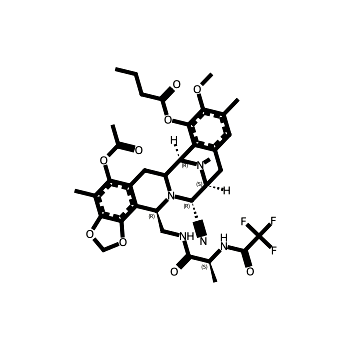 CCCC(=O)Oc1c(OC)c(C)cc2c1[C@@H]1C3Cc4c(OC(C)=O)c(C)c5c(c4[C@H](CNC(=O)[C@H](C)NC(=O)C(F)(F)F)N3[C@@H](C#N)[C@H](C2)N1C)OCO5